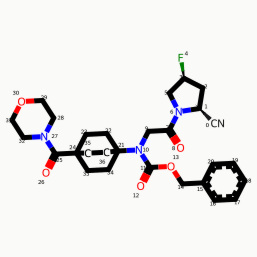 N#C[C@@H]1C[C@H](F)CN1C(=O)CN(C(=O)OCc1ccccc1)C12CCC(C(=O)N3CCOCC3)(CC1)CC2